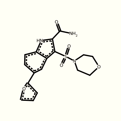 NC(=O)c1[nH]c2ccc(-c3ccco3)cc2c1S(=O)(=O)N1CCOCC1